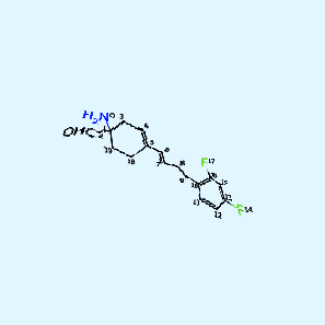 NC1(C=O)CC=C(/C=C/CCc2ccc(F)cc2F)CC1